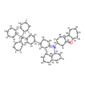 c1ccc([Si](c2ccccc2)(c2ccccc2)c2ccc(-c3ccc(N(c4ccc5c(c4)oc4ccccc45)c4cccc5ccccc45)cc3)cc2)cc1